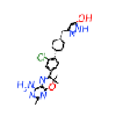 Cc1nc(N)c2c(n1)OC(C)(C)C(c1ccc([C@H]3CC[C@H](Cc4cc(O)[nH]n4)CC3)c(Cl)c1)=N2